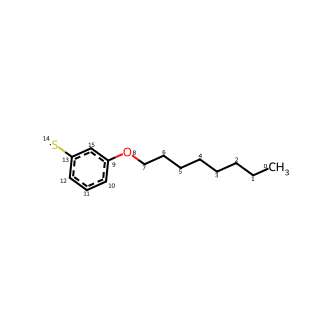 CCCCCCCCOc1cccc([S])c1